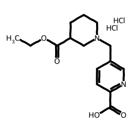 CCOC(=O)C1CCCN(Cc2ccc(C(=O)O)nc2)C1.Cl.Cl